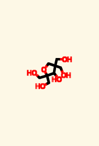 OCC1(CO)COC(CO)(CO)C1O